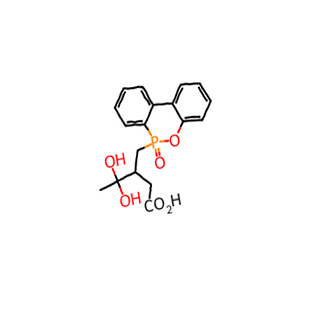 CC(O)(O)C(CC(=O)O)CP1(=O)Oc2ccccc2-c2ccccc21